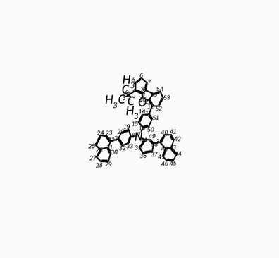 CC(C)(C)c1cccc2c1oc1c(-c3ccc(N(c4ccc(-c5cccc6ccccc56)cc4)c4cccc(-c5cccc6ccccc56)c4)cc3)cccc12